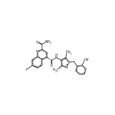 Cc1nn(Cc2ccccc2C#N)c(C)c1NC(=O)c1cc(C(N)=O)nc2cc(F)ccc12